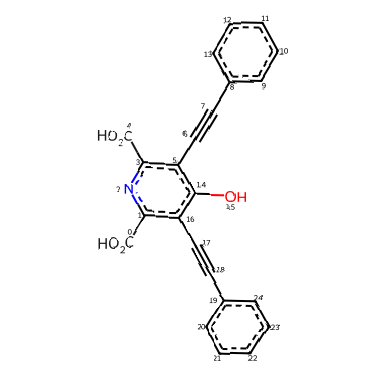 O=C(O)c1nc(C(=O)O)c(C#Cc2ccccc2)c(O)c1C#Cc1ccccc1